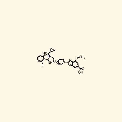 COc1cc(C(=O)O)cc2sc(N3CC4CC3CC4OC/C(C(=N)c3c(Cl)cccc3Cl)=C(/O)C3CC3)nc12